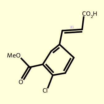 COC(=O)c1cc(/C=C/C(=O)O)ccc1Cl